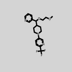 COCCOC(c1cccnc1)C1CCN(c2ccc(C(F)(F)F)nc2)CC1